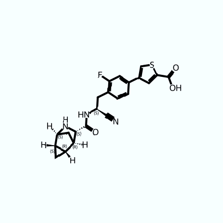 N#C[C@H](Cc1ccc(-c2csc(C(=O)O)c2)cc1F)NC(=O)[C@H]1N[C@H]2C[C@@H]1[C@@H]1C[C@@H]12